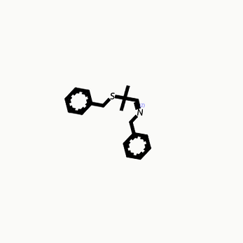 CC(C)(/C=N\Cc1ccccc1)SCc1ccccc1